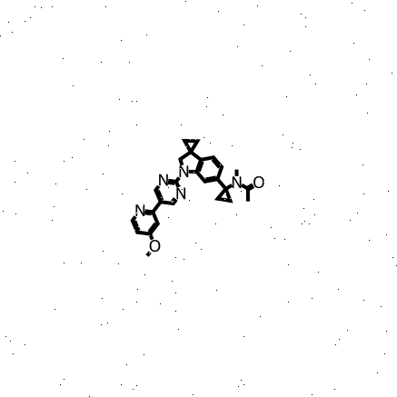 COc1ccnc(-c2cnc(N3CC4(CC4)c4ccc(C5(N(C)C(C)=O)CC5)cc43)nc2)c1